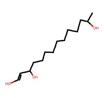 CC(O)CCCCCCCCCC(O)C=CO